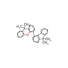 CC1(C)c2ccccc2Oc2c(-c3cccc4c3-c3ccccc3C4(C)C)cccc21